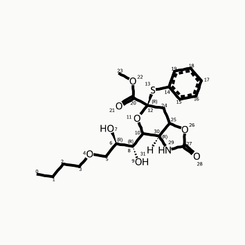 CCCCOC[C@@H](O)[C@@H](O)C1O[C@](Sc2ccccc2)(C(=O)OC)CC2OC(=O)N[C@H]21